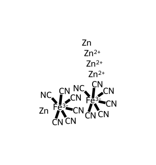 N#[C][Fe-3]([C]#N)([C]#N)([C]#N)([C]#N)[C]#N.N#[C][Fe-3]([C]#N)([C]#N)([C]#N)([C]#N)[C]#N.[Zn+2].[Zn+2].[Zn+2].[Zn].[Zn]